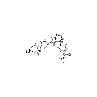 CCN1CCC(c2ccc(-c3cc4c(N5CCN(C(=O)C6CC6)CC5)ccnn4c3)cc2)C(F)(F)C1